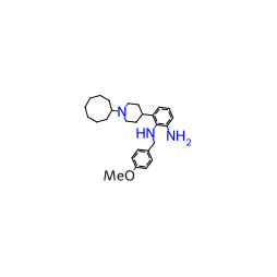 COc1ccc(CNc2c(N)cccc2C2CCN(C3CCCCCCC3)CC2)cc1